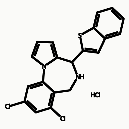 Cl.Clc1cc(Cl)c2c(c1)-n1cccc1C(c1cc3ccccc3s1)NC2